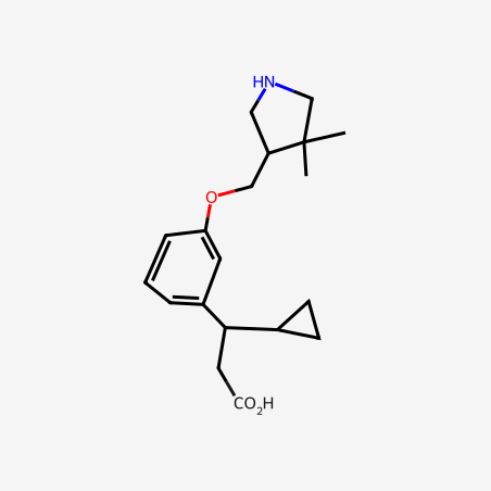 CC1(C)CNCC1COc1cccc(C(CC(=O)O)C2CC2)c1